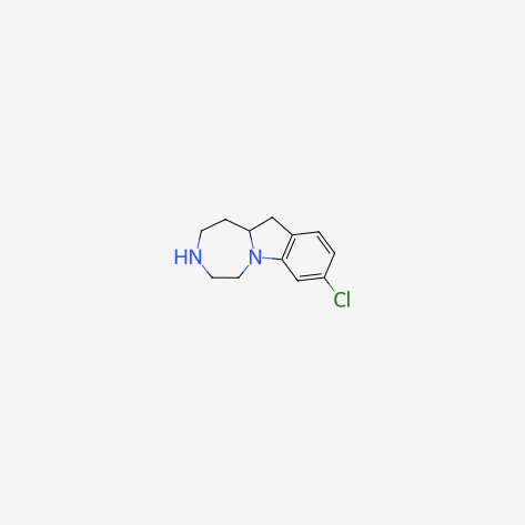 Clc1ccc2c(c1)N1CCNCCC1C2